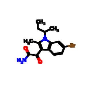 CCC(C)n1c(C)c(C(=O)C(N)=O)c2ccc(Br)cc21